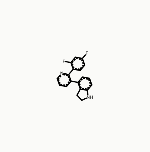 Fc1ccc(-c2ncccc2-c2cccc3c2CCN3)c(F)c1